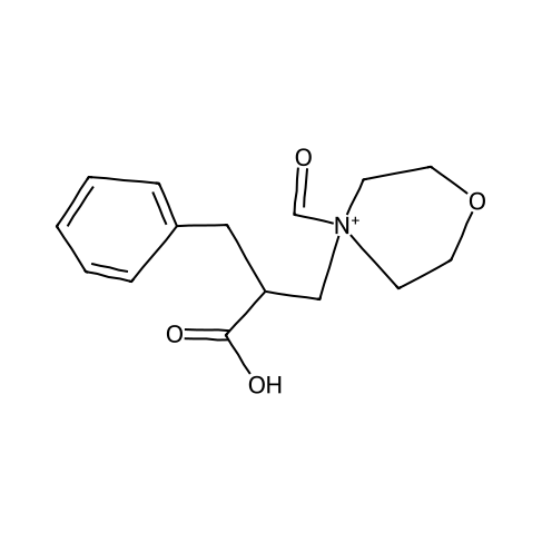 O=C[N+]1(CC(Cc2ccccc2)C(=O)O)CCOCC1